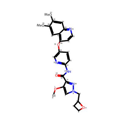 CCOc1cn(CC2CCO2)nc1C(=O)Nc1ccc(Oc2ccnc3cc(OC)c(OC)cc23)cn1